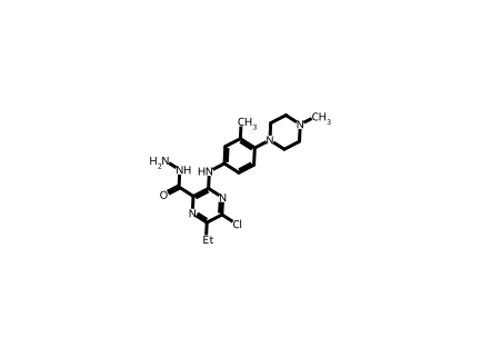 CCc1nc(C(=O)NN)c(Nc2ccc(N3CCN(C)CC3)c(C)c2)nc1Cl